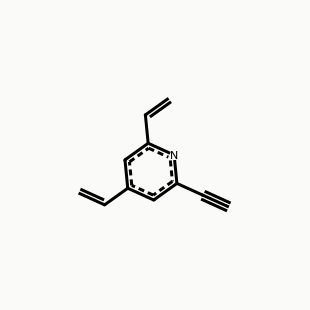 C#Cc1cc(C=C)cc(C=C)n1